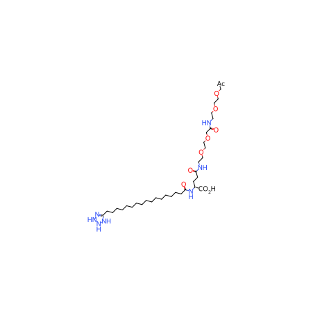 CC(=O)COCCOCCNC(=O)COCCOCCNC(=O)CC[C@H](NC(=O)CCCCCCCCCCCCCCCCC1=NNNN1)C(=O)O